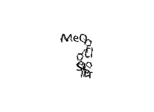 COc1cccc(C(Cl)Cc2cccc(CO[Si](CC(C)C)(c3ccccc3)c3ccccc3)c2)c1